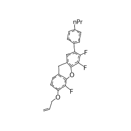 C=CCOc1ccc2c(c1F)Oc1c(cc(-c3ccc(CCC)cc3)c(F)c1F)C2